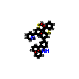 c1ccc(Nc2ccc(-c3ccc4c(c3)Sc3ccccc3C43c4ccccc4Sc4cc(-c5ccccn5)ccc43)cc2-c2ccccc2)cc1